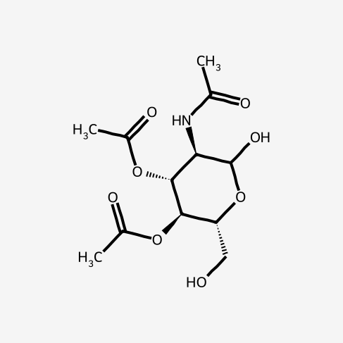 CC(=O)N[C@H]1C(O)O[C@H](CO)[C@@H](OC(C)=O)[C@@H]1OC(C)=O